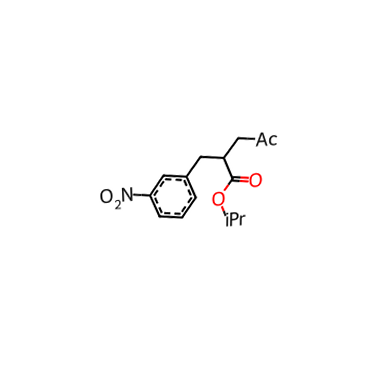 CC(=O)CC(Cc1cccc([N+](=O)[O-])c1)C(=O)OC(C)C